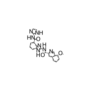 COc1cccc2cc(C(=O)Nc3nc4c(C(=O)Nc5ncc[nH]5)cccc4[nH]3)ncc12